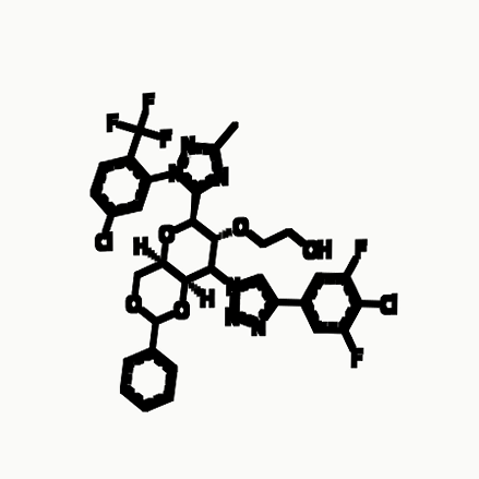 Cc1nc([C@@H]2O[C@@H]3COC(c4ccccc4)O[C@@H]3C(n3cc(-c4cc(F)c(Cl)c(F)c4)nn3)[C@H]2OCCO)n(-c2cc(Cl)ccc2C(F)(F)F)n1